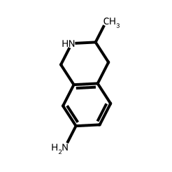 CC1Cc2ccc(N)cc2CN1